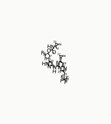 CC1(NC(=O)O[C@H]2C[C@@H](c3cc(Nc4nc(C5CC5)cc5nc(COC(F)(F)F)cn45)n[nH]3)C[C@H]2F)CC1